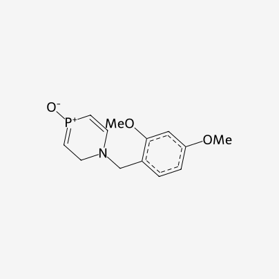 COc1ccc(CN2C=C[P+]([O-])=CC2)c(OC)c1